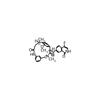 COc1cc2ccc1[C@@H](C)CCC(=O)Nc1cccc(c1)CN(C)C(=O)[C@@H]2Nc1ccc2c(F)c[nH]c(=O)c2c1